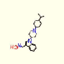 CC(C)=C1CCC(N2CCC(n3cc(/C=N/O)c4ccccc43)CC2)CC1